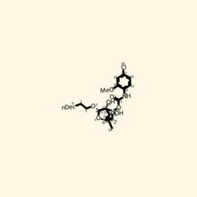 CCCCCCCCCCCCO[C@H]1O[C@]23[C@@H](C)N(OC(=O)Nc4ccc(Cl)cc4OC)[C@]1(O)[C@]2(O)C3(C)C